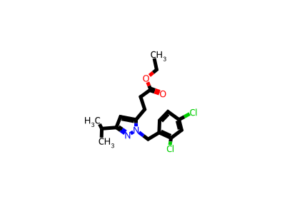 CCOC(=O)CCc1cc(C(C)C)nn1Cc1ccc(Cl)cc1Cl